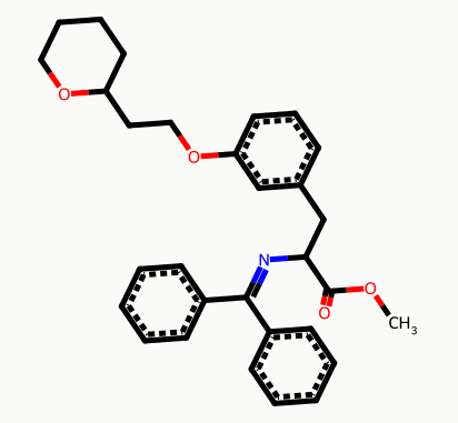 COC(=O)C(Cc1cccc(OCCC2CCCCO2)c1)N=C(c1ccccc1)c1ccccc1